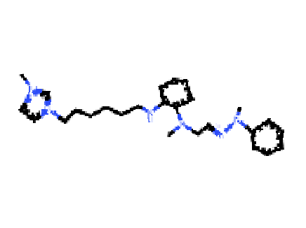 CN(C/C=N/N(C)c1ccccc1)c1ccccc1NCCCCCCn1cc[n+](C)c1